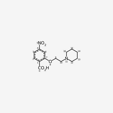 O=C(O)c1ccc([N+](=O)[O-])cc1OCCN1CCCCC1